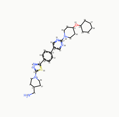 NCC1CCN(c2nnc(-c3ccc(-c4cnc(N5CCC(OC6CCCCC6)CC5)nc4)cc3)s2)CC1